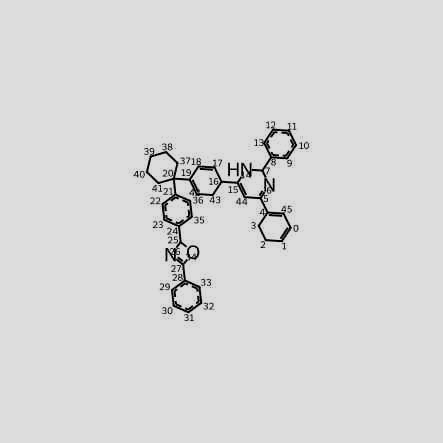 C1=CCCC(C2=NC(c3ccccc3)NC(C3C=CC(C4(c5ccc(C6N=C(c7ccccc7)O6)cc5)CCCCC4)=CC3)=C2)=C1